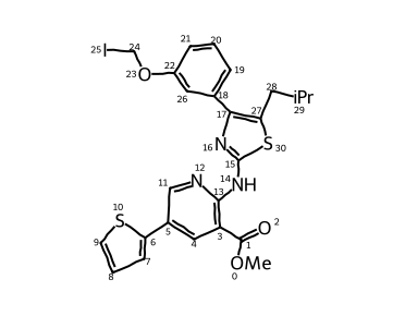 COC(=O)c1cc(-c2cccs2)cnc1Nc1nc(-c2cccc(OCI)c2)c(CC(C)C)s1